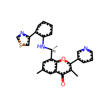 Cc1cc([C@@H](C)Nc2ccccc2-c2cscn2)c2oc(-c3cccnc3)c(C)c(=O)c2c1